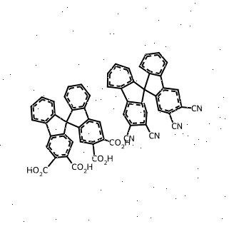 N#Cc1cc2c(cc1C#N)C1(c3ccccc3-2)c2ccccc2-c2cc(C#N)c(C#N)cc21.O=C(O)c1cc2c(cc1C(=O)O)C1(c3ccccc3-2)c2ccccc2-c2cc(C(=O)O)c(C(=O)O)cc21